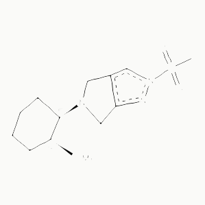 CO[C@H]1CCCC[C@H]1N1Cc2cn(S(C)(=O)=O)nc2C1